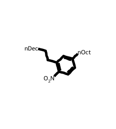 CCCCCCCCCCCCc1cc(CCCCCCCC)ccc1[N+](=O)[O-]